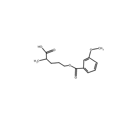 COc1cccc(C(=O)OCCCC(C)C(=O)O)c1